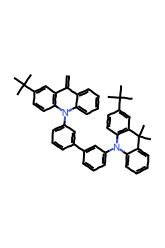 C=C1c2ccccc2N(c2cccc(-c3cccc(N4c5ccccc5C(C)(C)c5cc(C(C)(C)C)ccc54)c3)c2)c2ccc(C(C)(C)C)cc21